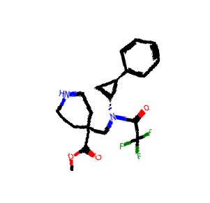 COC(=O)C1(CN(C(=O)C(F)(F)F)[C@@H]2C[C@H]2c2ccccc2)CCNCC1